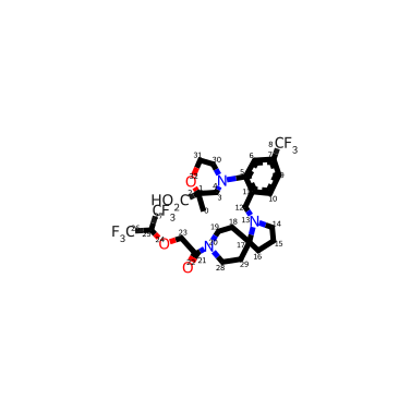 CC1(C(=O)O)CN(c2cc(C(F)(F)F)ccc2CN2CCCC23CCN(C(=O)COC(C(F)(F)F)C(F)(F)F)CC3)CCO1